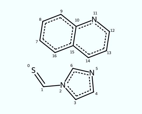 S=Cn1ccnc1.c1ccc2ncccc2c1